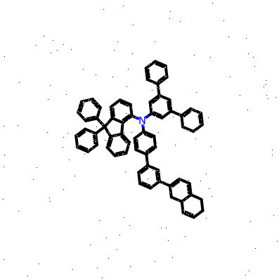 C1=CCCC(c2cc(-c3ccccc3)cc(N(c3ccc(-c4cccc(C5=CC=C6CCC=CC6C5)c4)cc3)c3cccc4c3-c3ccccc3C4(c3ccccc3)c3ccccc3)c2)=C1